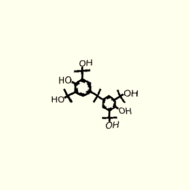 CC(C)(O)c1cc(C(C)(C)c2cc(C(C)(C)O)c(O)c(C(C)(C)O)c2)cc(C(C)(C)O)c1O